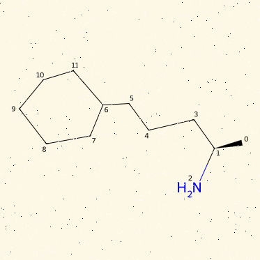 C[C@@H](N)CCCC1CCCCC1